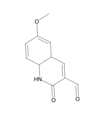 COC1=CC2C=C(C=O)C(=O)NC2C=C1